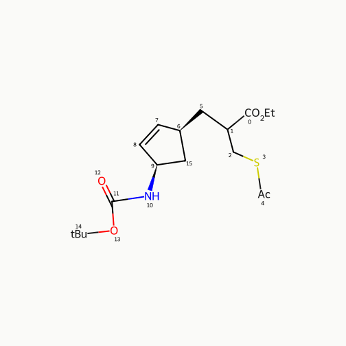 CCOC(=O)C(CSC(C)=O)C[C@@H]1C=C[C@H](NC(=O)OC(C)(C)C)C1